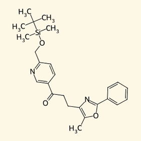 Cc1oc(-c2ccccc2)nc1CCC(=O)c1ccc(CO[Si](C)(C)C(C)(C)C)nc1